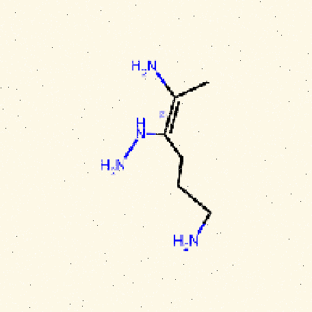 C/C(N)=C(\CCCN)NN